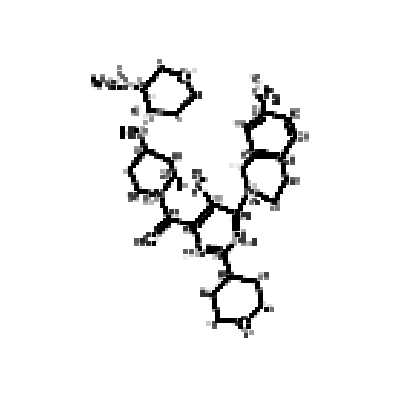 CO[C@@H]1COCC[C@@H]1NC1CCN(C(=O)c2nc(C3CCOCC3)nc(N3CCc4ccc(C(F)(F)F)cc4C3)c2C)CC1